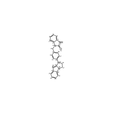 O=c1[nH]c2cccnc2n1Cc1ccc(N2CCn3c2nc2ccccc23)cc1